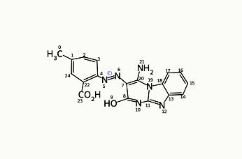 Cc1ccc(/N=N/c2c(O)nc3nc4ccccc4n3c2N)c(C(=O)O)c1